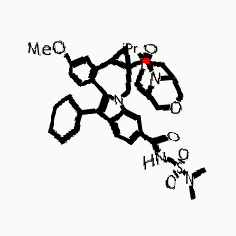 COc1ccc2c(c1)C1CC1(C(=O)N1C3COCC1CN(C(C)C)C3)Cn1c-2c(C2CCCCC2)c2ccc(C(=O)NS(=O)(=O)N(C)C)cc21